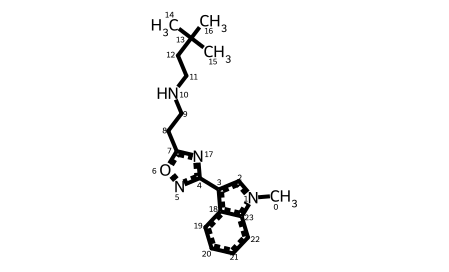 Cn1cc(-c2noc(CCNCCC(C)(C)C)n2)c2ccccc21